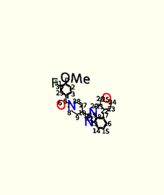 COc1ccc(C(=O)N2CCC(c3nc4ccccc4n3CC3CCCOC3)CC2)cc1F